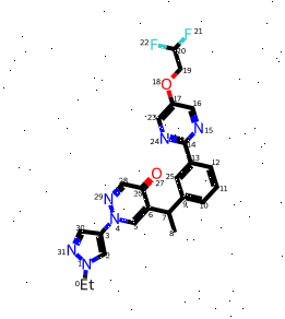 CCn1cc(-n2cc(C(C)c3cccc(-c4ncc(OCC(F)F)cn4)c3)c(=O)cn2)cn1